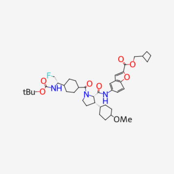 COC1CCC([C@@H]2CCN(C(=O)C3CCC([C@@H](CF)NC(=O)OC(C)(C)C)CC3)[C@@H]2C(=O)Nc2ccc3oc(C(=O)OCC4CCC4)cc3c2)CC1